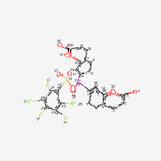 O=c1ccc2ccc([I+](OS(=O)(=O)c3c(F)c(F)c(F)c(F)c3F)c3ccc4ccc(=O)oc4c3)cc2o1